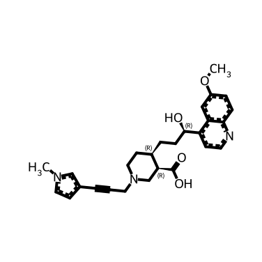 COc1ccc2nccc([C@H](O)CC[C@@H]3CCN(CC#Cc4ccn(C)c4)C[C@@H]3C(=O)O)c2c1